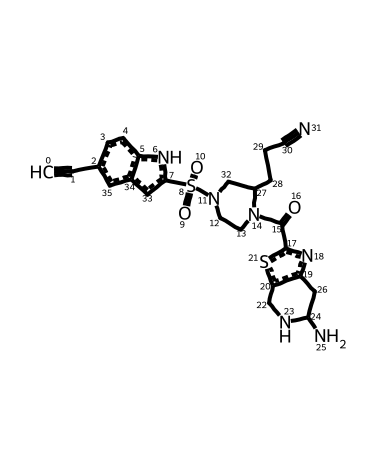 C#Cc1ccc2[nH]c(S(=O)(=O)N3CCN(C(=O)c4nc5c(s4)CNC(N)C5)C(CCC#N)C3)cc2c1